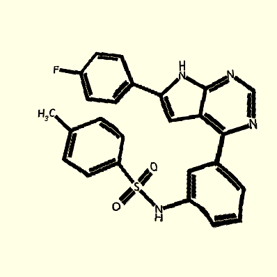 Cc1ccc(S(=O)(=O)Nc2cccc(-c3ncnc4[nH]c(-c5ccc(F)cc5)cc34)c2)cc1